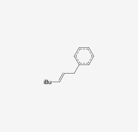 CCC(C)/C=C/Cc1ccccc1